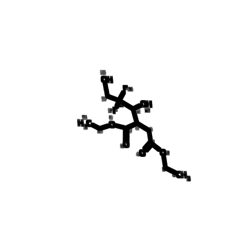 CCOC(=O)CC(C(=O)OCC)C(O)C(F)(F)CO